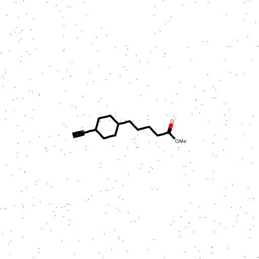 C#CC1CCC(CCCCC(=O)OC)CC1